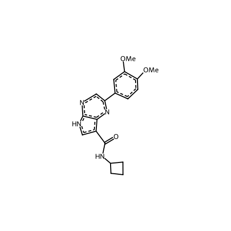 COc1ccc(-c2cnc3[nH]cc(C(=O)NC4CCC4)c3n2)cc1OC